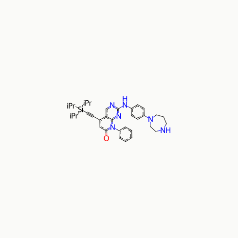 CC(C)[Si](C#Cc1cc(=O)n(-c2ccccc2)c2nc(Nc3ccc(N4CCCNCC4)cc3)ncc12)(C(C)C)C(C)C